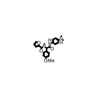 COc1ccc(C(C(=O)Nc2ccc([SiH](C)C)cc2)N(C)C(=O)c2ccco2)cc1